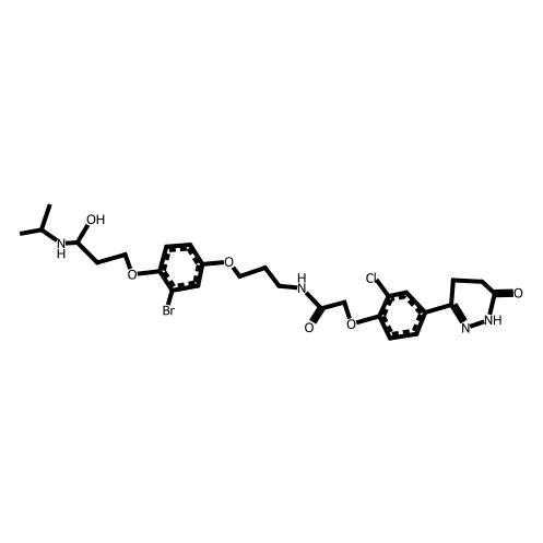 CC(C)NC(O)CCOc1ccc(OCCCNC(=O)COc2ccc(C3=NNC(=O)CC3)cc2Cl)cc1Br